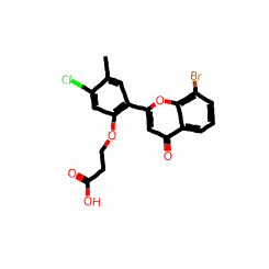 Cc1cc(-c2cc(=O)c3cccc(Br)c3o2)c(OCCC(=O)O)cc1Cl